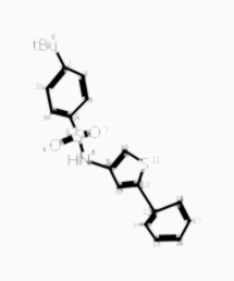 CC(C)(C)c1ccc(S(=O)(=O)Nc2csc(-c3ccccc3)c2)cc1